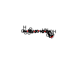 CC(CCC(=O)NC=O)N1C(=O)c2ccc(N3CCC4(CCC(CCN5CCC(N/C=C6/C=C(NC(=O)c7cccc(C(F)(F)F)n7)C(C(C)(C)O)=CC6=N)CC5)CC4)CC3)cc2C1=O